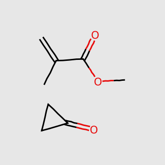 C=C(C)C(=O)OC.O=C1CC1